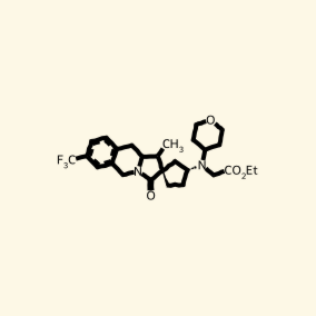 CCOC(=O)CN(C1CCOCC1)[C@@H]1CC[C@@]2(C1)C(=O)N1Cc3cc(C(F)(F)F)ccc3CC1C2C